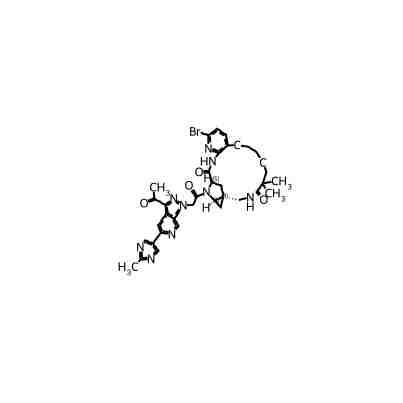 CC(=O)c1nn(CC(=O)N2[C@H]3C[C@@]4(CNC(=O)C(C)(C)CCCCCc5ccc(Br)nc5NC3=O)C[C@@H]24)c2cnc(-c3cnc(C)nc3)cc12